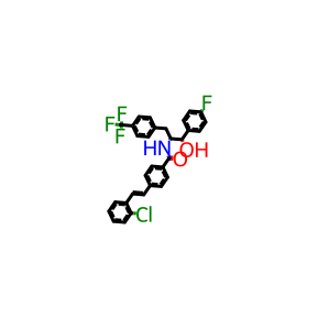 O=C(NC(Cc1ccc(C(F)(F)F)cc1)C(O)c1ccc(F)cc1)c1ccc(C=Cc2ccccc2Cl)cc1